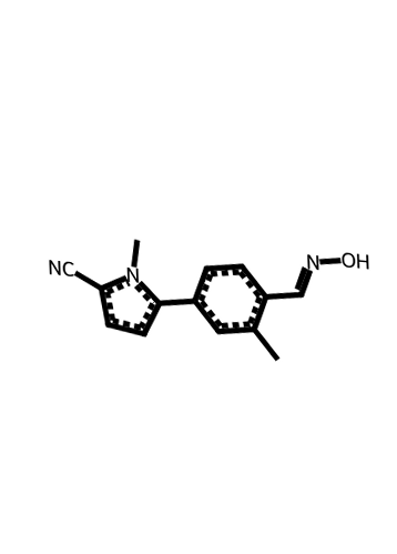 Cc1cc(-c2ccc(C#N)n2C)ccc1C=NO